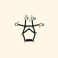 N#CC1(C#N)C2C=CC(C2)C1(Cl)C(F)(F)F